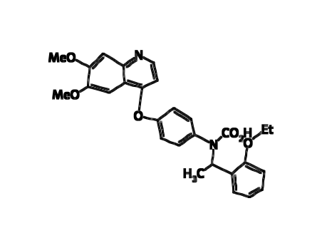 CCOc1ccccc1C(C)N(C(=O)O)c1ccc(Oc2ccnc3cc(OC)c(OC)cc23)cc1